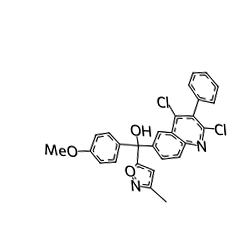 COc1ccc(C(O)(c2ccc3nc(Cl)c(-c4ccccc4)c(Cl)c3c2)c2cc(C)no2)cc1